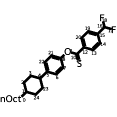 CCCCCCCCC1CCC(c2ccc(OC(=S)c3ccc(C(F)F)cc3)cc2)CC1